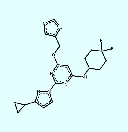 FC1(F)CCC(Nc2cc(OCc3cnco3)nc(-n3ccc(C4CC4)n3)n2)CC1